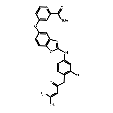 CNC(=O)c1cc(Oc2ccc3oc(Nc4ccc(CC(=O)C=C(C)C)c(Cl)c4)nc3c2)ccn1